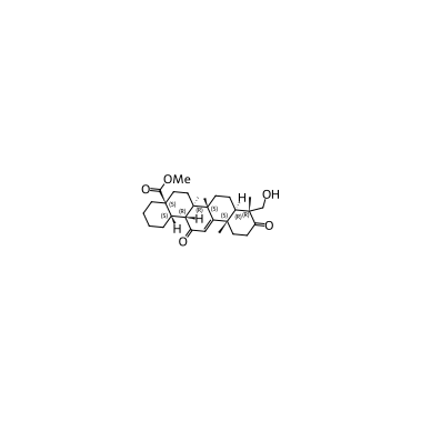 COC(=O)[C@]12CCCC[C@H]1[C@H]1C(=O)C=C3[C@@]4(C)CCC(=O)[C@@](C)(CO)[C@@H]4CC[C@@]3(C)[C@]1(C)CC2